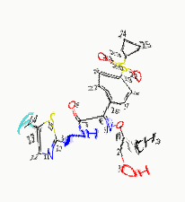 C[C@H](CO)O/N=C(/C(=O)Nc1ncc(F)s1)c1ccc(S(=O)(=O)C2CC2)cc1